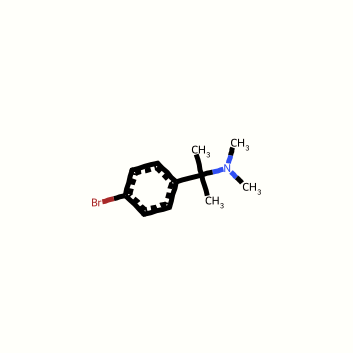 CN(C)C(C)(C)c1ccc(Br)cc1